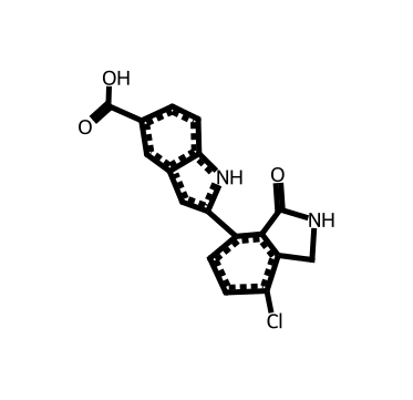 O=C(O)c1ccc2[nH]c(-c3ccc(Cl)c4c3C(=O)NC4)cc2c1